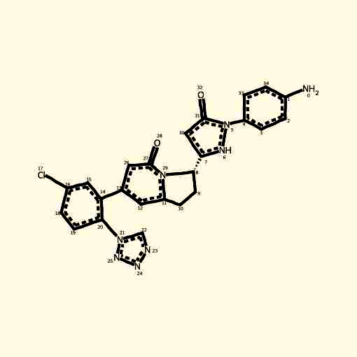 Nc1ccc(-n2[nH]c([C@@H]3CCc4cc(-c5cc(Cl)ccc5-n5cnnn5)cc(=O)n43)cc2=O)cc1